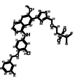 COc1cc2ncnc(Nc3ccc(OCc4cccc(F)c4)c(Cl)c3)c2cc1-c1csc(COCCS(=O)(=O)C(C)C)n1